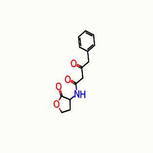 O=C(CC(=O)NC1CCOC1=O)Cc1ccccc1